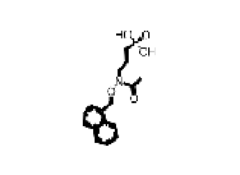 CC(=O)N(CCCP(=O)(O)O)OCc1cccc2ccccc12